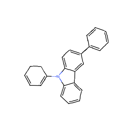 C1=CCCC(n2c3ccccc3c3cc(-c4ccccc4)ccc32)=C1